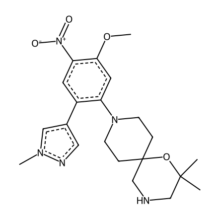 COc1cc(N2CCC3(CC2)CNCC(C)(C)O3)c(-c2cnn(C)c2)cc1[N+](=O)[O-]